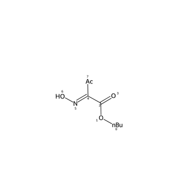 CCCCOC(=O)C(=NO)C(C)=O